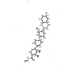 C=CCC(=C)c1ccc(-c2ccc(-c3ccc(C4CCc5cc(C)ccc5C4)c(F)c3)cc2)c(F)c1F